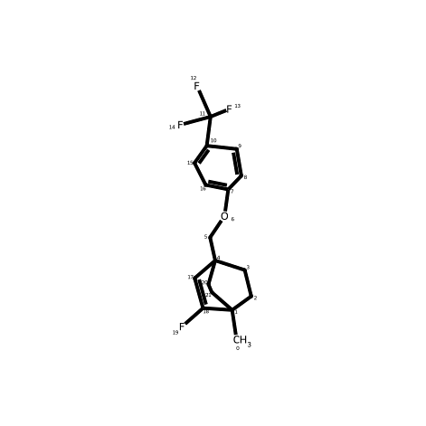 CC12CCC(COc3ccc(C(F)(F)F)cc3)(C=C1F)CC2